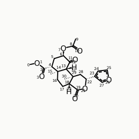 COC(=O)[C@@H]1C[C@@H](OC(C)=O)C(=O)[C@H]2[C@@]1(C)CC[C@H]1C(=O)O[C@@H](c3ccoc3)C[C@]21C